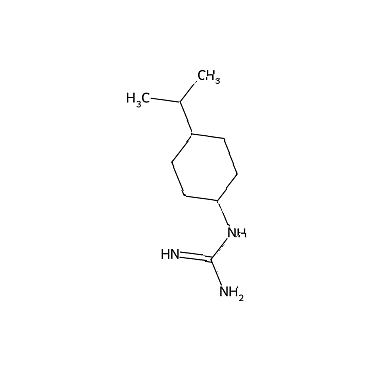 CC(C)C1CCC(NC(=N)N)CC1